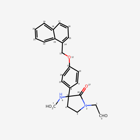 O=CCN1CCC(NC(=O)O)(c2ccc(OCc3cccc4ccccc34)cc2)C1=O